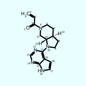 C=CC(=O)N1CC[C@H]2CCN(c3ncnc4[nH]ccc34)[C@@H]2C1